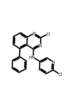 Clc1ccc(Nc2nc(Cl)nc3cccc(-c4ccccc4)c23)cn1